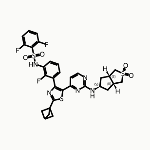 O=S1(=O)C[C@H]2C[C@H](Nc3nccc(-c4sc(C56CC(C5)C6)nc4-c4cccc(NS(=O)(=O)c5c(F)cccc5F)c4F)n3)C[C@H]2C1